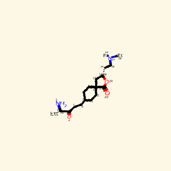 CC[C@H](N)C(=O)CCC1CCC2(CC1)C[C@H](CCN(CC)CC)OC2=O